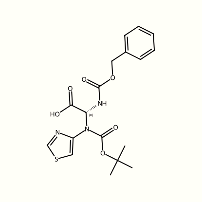 CC(C)(C)OC(=O)N(c1cscn1)[C@@H](NC(=O)OCc1ccccc1)C(=O)O